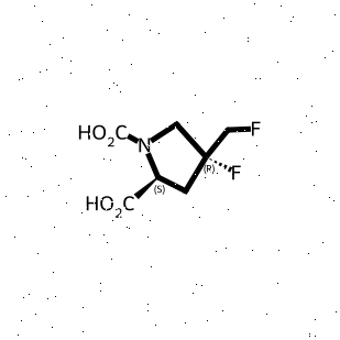 O=C(O)[C@@H]1C[C@](F)(CF)CN1C(=O)O